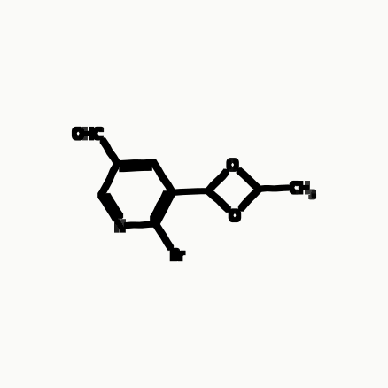 CC1OC(c2cc(C=O)cnc2Br)O1